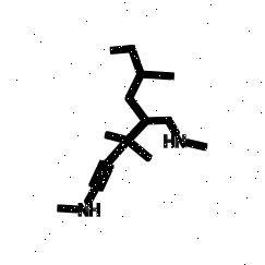 CCC(C)CC(CNC)C(C)(C)C#CNC